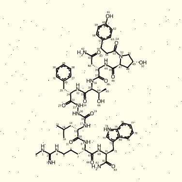 CNC(=N)NCCC[C@H](NC(=O)[C@H](CC(C)C)NC(=O)NNC(=O)[C@H](Cc1ccccc1)NC(=O)[C@@H](NC(=O)[C@H](CC(N)=O)NC(=O)[C@@H]1C[C@@H](O)CN1C(=O)CCc1ccc(O)cc1)[C@@H](C)O)C(=O)N[C@@H](Cc1c[nH]c2ccccc12)C(N)=O